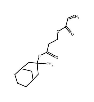 C=CC(=O)OCCC(=O)OC1(C)CC2CCCC(C2)C1